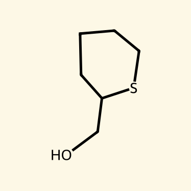 OCC1CCCCS1